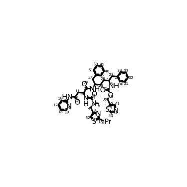 CC(C)c1nc(CN(C)C(=O)NC(CC(=O)Nc2ccccn2)C(=O)NC(CCC(Cc2ccccc2)NC(=O)OCc2cncs2)Cc2ccccc2)cs1